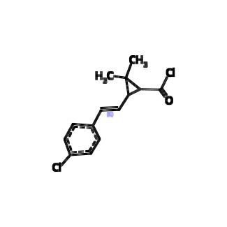 CC1(C)C(/C=C/c2ccc(Cl)cc2)C1C(=O)Cl